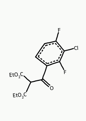 CCOC(=O)C(C(=O)OCC)C(=O)c1ccc(F)c(Cl)c1F